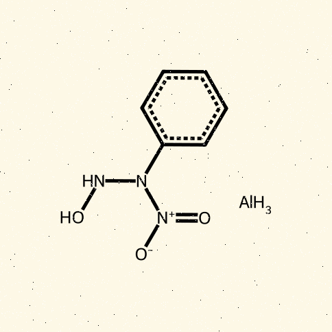 O=[N+]([O-])N(NO)c1ccccc1.[AlH3]